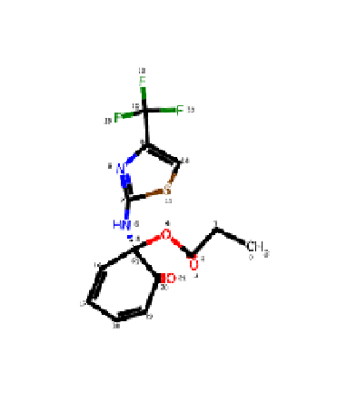 CCC(=O)O[C@]1(Nc2nc(C(F)(F)F)cs2)C=CC=CC1=O